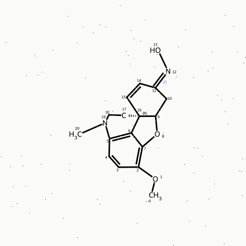 COc1ccc2c3c1OC1C/C(=N/O)C=C[C@]31CCN2C